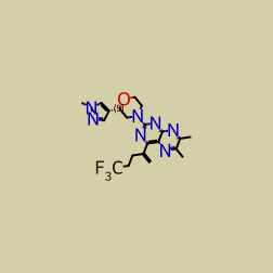 C=C(CCC(F)(F)F)c1nc(N2CCO[C@@H](c3cnn(C)c3)C2)nc2nc(C)c(C)nc12